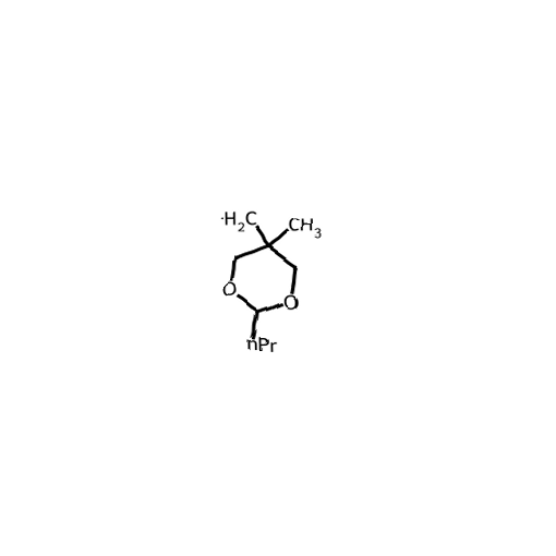 [CH2]C1(C)COC(CCC)OC1